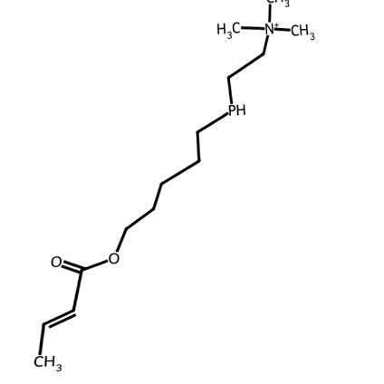 CC=CC(=O)OCCCCCPCC[N+](C)(C)C